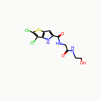 O=C(CNC(=O)c1cc2sc(Cl)c(Cl)c2[nH]1)NCCO